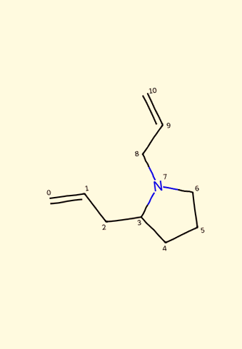 C=CCC1CCCN1CC=C